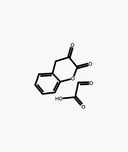 O=C1Cc2ccccc2OC1=O.O=CC(=O)O